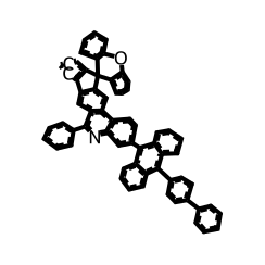 c1ccc(-c2ccc(-c3c4ccccc4c(-c4ccc5c(c4)nc(-c4ccccc4)c4cc6c(cc45)C4(c5ccccc5Oc5ccccc54)c4ccccc4-6)c4ccccc34)cc2)cc1